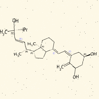 C=C1/C(=C\C=C2/CCC[C@@]3(C)C2CC[C@@H]3[C@H](C)/C=C/[C@@](C)(O)C(C)C)C[C@@H](O)CC1O